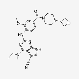 CCNc1nc(Nc2ccc(C(=O)N3CCN(C4COC4)CC3)cc2OC)nc2[nH]cc(C#N)c12